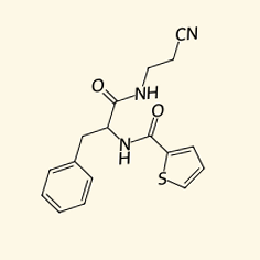 N#CCCNC(=O)C(Cc1ccccc1)NC(=O)c1cccs1